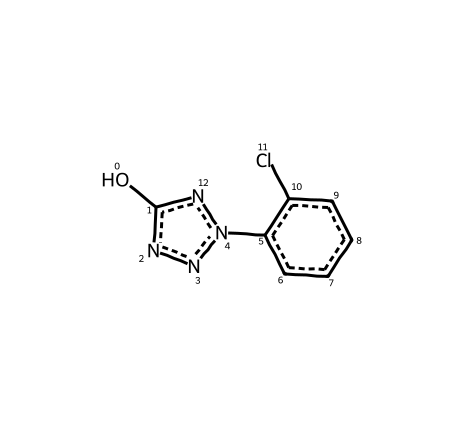 Oc1nnn(-c2ccccc2Cl)n1